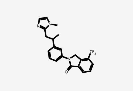 CC(Cc1nccn1C)c1cccc(N2Cc3c(cccc3C(F)(F)F)C2=O)c1